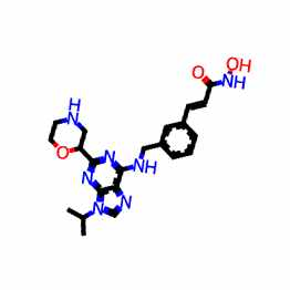 CC(C)n1cnc2c(NCc3cccc(/C=C/C(=O)NO)c3)nc(C3CNCCO3)nc21